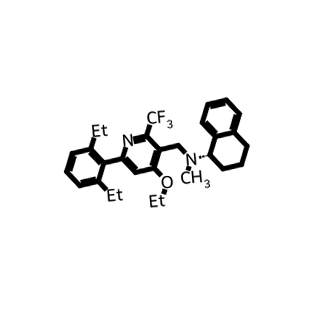 CCOc1cc(-c2c(CC)cccc2CC)nc(C(F)(F)F)c1CN(C)[C@H]1CCCc2ccccc21